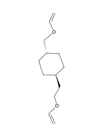 C=COCC[C@H]1CC[C@H](COC=C)CC1